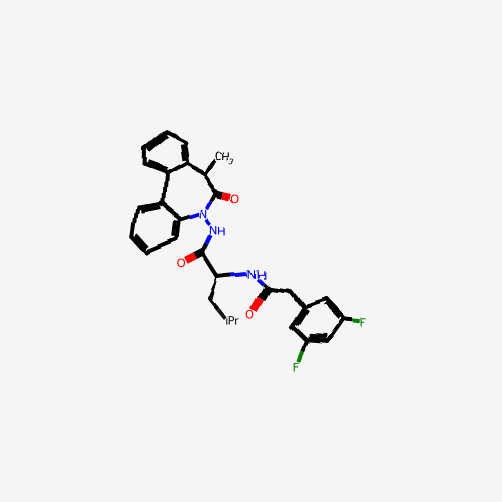 CC(C)C[C@H](NC(=O)Cc1cc(F)cc(F)c1)C(=O)NN1C(=O)C(C)c2ccccc2-c2ccccc21